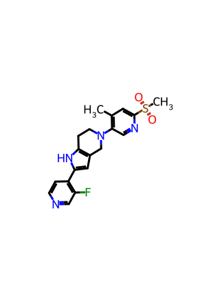 Cc1cc(S(C)(=O)=O)ncc1N1CCc2[nH]c(-c3ccncc3F)cc2C1